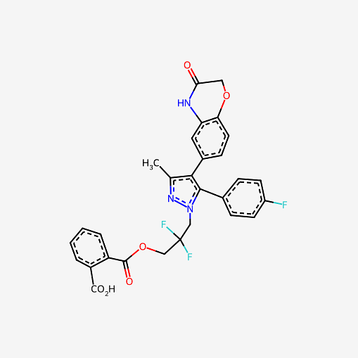 Cc1nn(CC(F)(F)COC(=O)c2ccccc2C(=O)O)c(-c2ccc(F)cc2)c1-c1ccc2c(c1)NC(=O)CO2